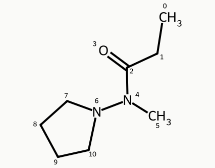 CCC(=O)N(C)N1CCCC1